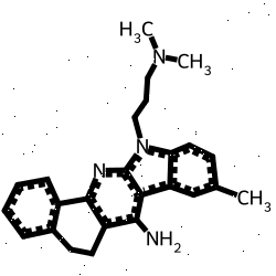 Cc1ccc2c(c1)c1c(N)c3c(nc1n2CCCN(C)C)-c1ccccc1CC3